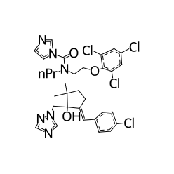 CC1(C)CC/C(=C\c2ccc(Cl)cc2)C1(O)Cn1cncn1.CCCN(CCOc1c(Cl)cc(Cl)cc1Cl)C(=O)n1ccnc1